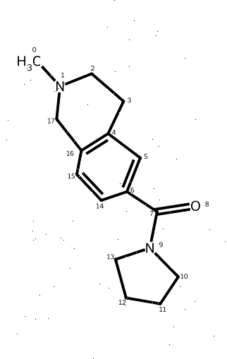 CN1CCc2cc(C(=O)N3CCCC3)ccc2C1